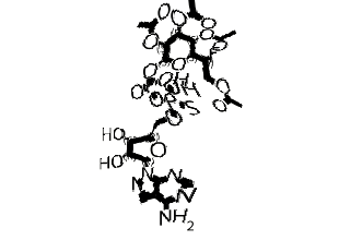 CC(=O)OC[C@H](F)[C@H]1O[C@@H](OP(=O)(O)OP(O)(=S)OC[C@H]2O[C@@H](n3ncc4c(N)ncnc43)[C@H](O)[C@@H]2O)[C@@H](OC(C)=O)[C@@H](OC(C)=O)[C@@H]1OC(C)=O